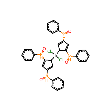 O=[PH](C1=C[CH]([Ti]([Cl])([Cl])[CH]2C=C([PH](=O)c3ccccc3)C=C2[PH](=O)c2ccccc2)C([PH](=O)c2ccccc2)=C1)c1ccccc1